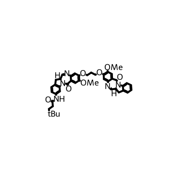 COc1cc2c(cc1OCCCOc1cc3c(cc1OC)C(=O)N1c4cc(NC(=O)CCC(C)(C)C)ccc4C[C@H]1C=N3)N=C[C@@H]1Cc3ccccc3N1C2=O